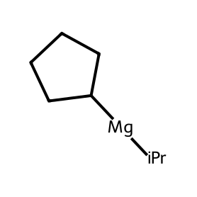 C[CH](C)[Mg][CH]1CCCC1